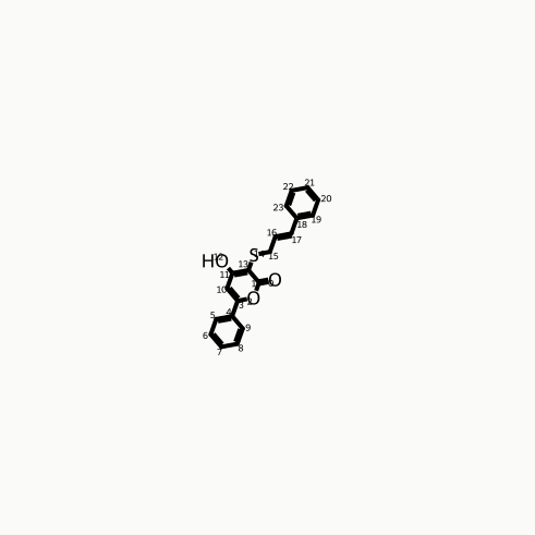 O=c1oc(-c2ccccc2)cc(O)c1SC/C=C/c1ccccc1